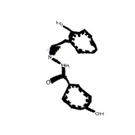 O=C(N/N=C\c1ccccc1O)c1ccc(O)cc1